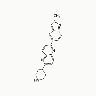 Cn1cc2nc(-c3ccc4nc(C5CCNCC5)ccc4n3)ccc2n1